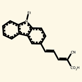 CCn1c2ccccc2c2cc(/C=C/C=C(\C#N)C(=O)O)ccc21